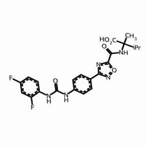 CC(C)C(C)(NC(=O)c1nc(-c2ccc(NC(=O)Nc3ccc(F)cc3F)cc2)no1)C(=O)O